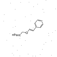 CCCCCCO[C]=Cc1cc[c]cc1